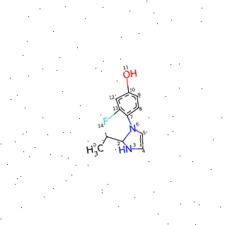 CCC1NC=CN1c1ccc(O)cc1F